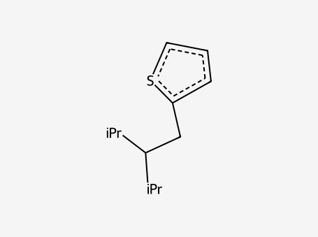 CC(C)C(Cc1cccs1)C(C)C